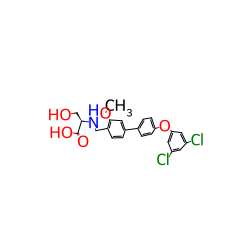 COc1cc(-c2ccc(Oc3cc(Cl)cc(Cl)c3)cc2)ccc1CN[C@H](CO)C(=O)O